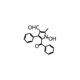 Cc1c(C=O)c(-c2ccccc2)c(C(=O)c2ccccc2)n1O